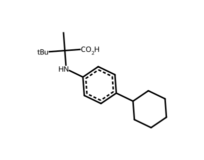 CC(C)(C)C(C)(Nc1ccc(C2CCCCC2)cc1)C(=O)O